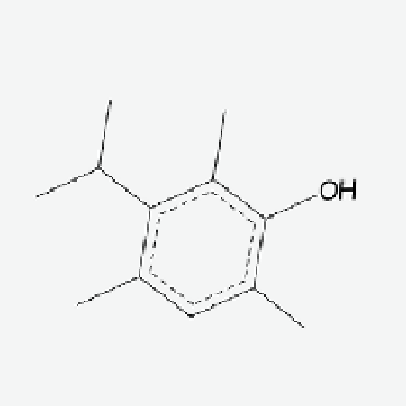 Cc1cc(C)c(C(C)C)c(C)c1O